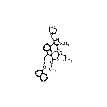 C=CCOCc1c(-c2cccc3c(CCCOc4cccc5ccccc45)c(C(=O)OCC)n(CC=C)c23)c(CN2CCOCC2)nn1C